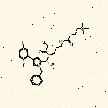 CC(C)(C)[C@H](c1cc(-c2cc(F)ccc2F)cn1Cc1ccccc1)N(CCCNC(=O)OCC[Si](C)(C)C)C(=O)CCl